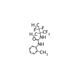 Cc1ccccc1NC(=O)NC(C)(C(C)(F)F)C(F)(F)F